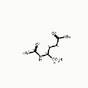 CCCC(=O)NC(CCC(=O)C(C)(C)C)C(=O)O